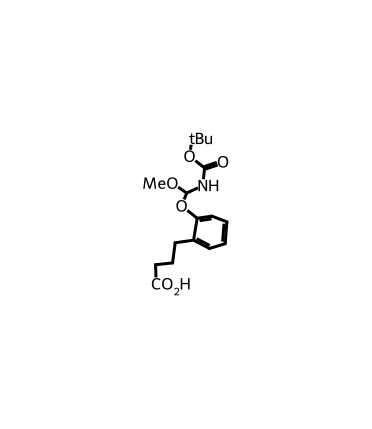 COC(NC(=O)OC(C)(C)C)Oc1ccccc1CCCC(=O)O